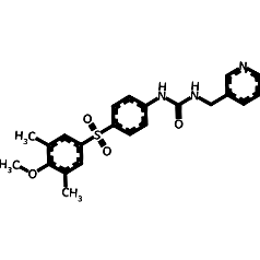 COc1c(C)cc(S(=O)(=O)c2ccc(NC(=O)NCc3cccnc3)cc2)cc1C